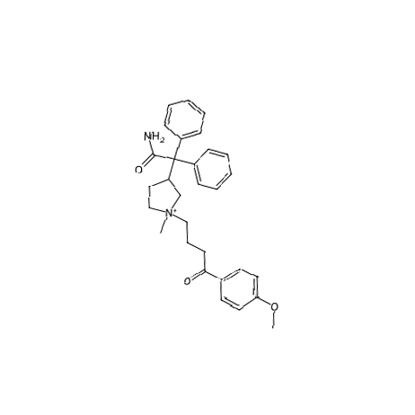 COc1ccc(C(=O)CCC[N+]2(C)CCC(C(C(N)=O)(c3ccccc3)c3ccccc3)C2)cc1